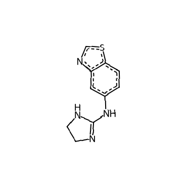 c1nc2cc(NC3=NCCN3)ccc2s1